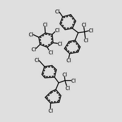 Clc1c(Cl)c(Cl)c(Cl)c(Cl)c1Cl.Clc1ccc(C(c2ccc(Cl)cc2)C(Cl)(Cl)Cl)cc1.Clc1ccc(C(c2ccc(Cl)cc2)C(Cl)(Cl)Cl)cc1